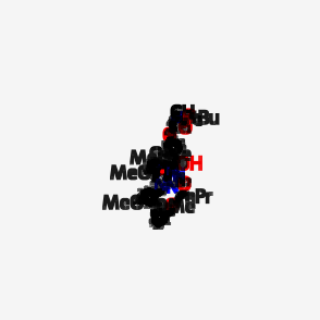 CCC[C@H](CCOCc1ccccc1)Oc1nc(N(Cc2ccc(OC)cc2OC)Cc2ccc(OC)cc2OC)c2ncc(C(O)c3ccc(OCCN(C)C(=O)OC(C)(C)C)cc3OC)n2n1